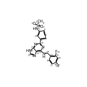 CS(=O)(=O)Nc1cccc(-c2nc(NCc3ccc(F)cc3F)c3nc[nH]c3n2)c1